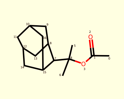 CC(=O)OC(C)(C)C1C2CC3CC(C2)CC1C3